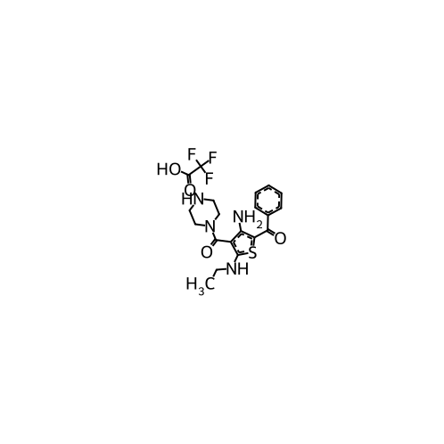 CCNc1sc(C(=O)c2ccccc2)c(N)c1C(=O)N1CCNCC1.O=C(O)C(F)(F)F